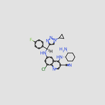 [2H][C@](Nc1cc(Cl)c2ncc(C#N)c(N[C@H]3CCCC[C@H]3N)c2c1)(c1ccc(F)cc1)c1cn(C2CC2)nn1